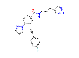 O=C(NCCCc1cn[nH]c1)c1ccc(-n2cccn2)c(C#Cc2ccc(F)cc2)c1